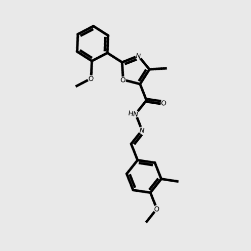 COc1ccc(/C=N/NC(=O)c2oc(-c3ccccc3OC)nc2C)cc1C